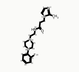 Cc1nccn1CCC(=O)NCCN1CCN(c2ccccc2F)CC1